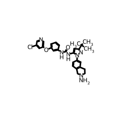 CC(C)(C)c1cc(NC(=O)Nc2cccc(Oc3cncc(Cl)c3)c2)n(-c2ccc3c(c2)CCN(N)C3)n1